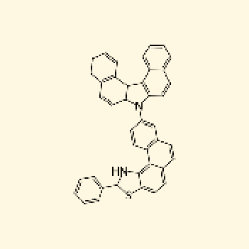 C1=CC2=C(C=CC3C2c2c(ccc4ccccc24)N3c2ccc3c(ccc4ccc5c(c43)NC(c3ccccc3)S5)c2)CC1